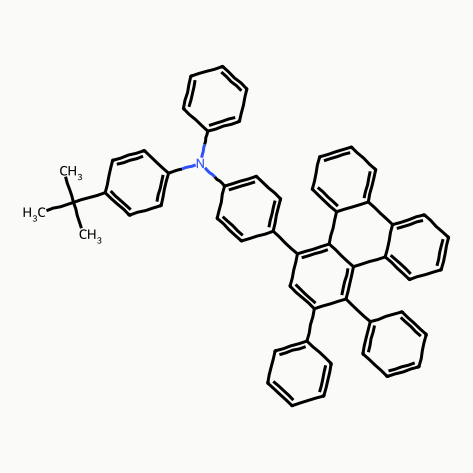 CC(C)(C)c1ccc(N(c2ccccc2)c2ccc(-c3cc(-c4ccccc4)c(-c4ccccc4)c4c5ccccc5c5ccccc5c34)cc2)cc1